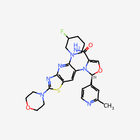 Cc1cc([C@@H]2OC=C(C(N)=O)N2c2cc3sc(N4CCOCC4)nc3nc2N2CCCC(F)C2)ccn1